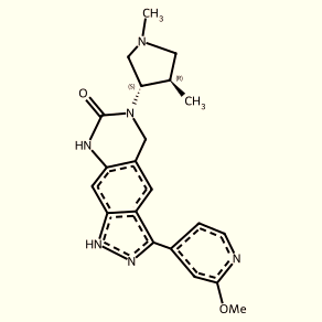 COc1cc(-c2n[nH]c3cc4c(cc23)CN([C@@H]2CN(C)C[C@H]2C)C(=O)N4)ccn1